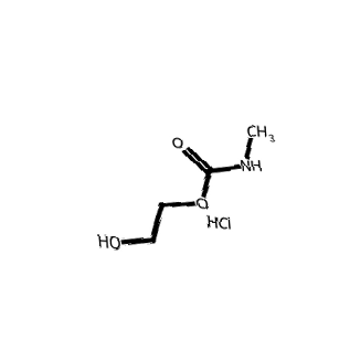 CNC(=O)OCCO.Cl